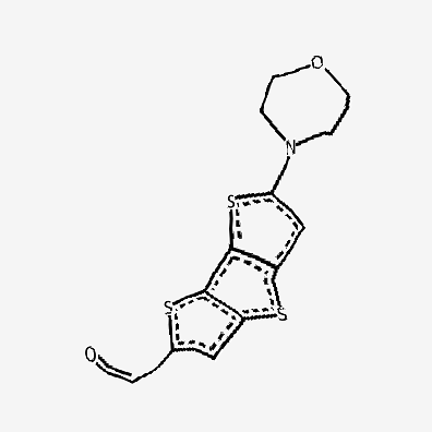 O=Cc1cc2sc3cc(N4CCOCC4)sc3c2s1